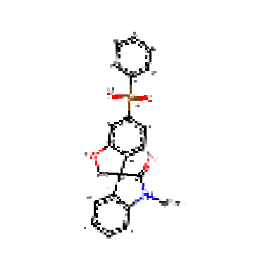 CCCCCN1C(=O)C2(COc3cc(S(=O)(=O)c4ccccc4)ccc32)c2ccccc21